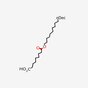 CCCCCCCCCCCCCCCCCCCCOC(=O)CCCCCCCC(=O)O